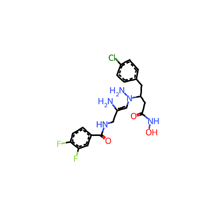 N/C(=C\N(N)C(CC(=O)NO)Cc1ccc(Cl)cc1)CNC(=O)c1ccc(F)c(F)c1